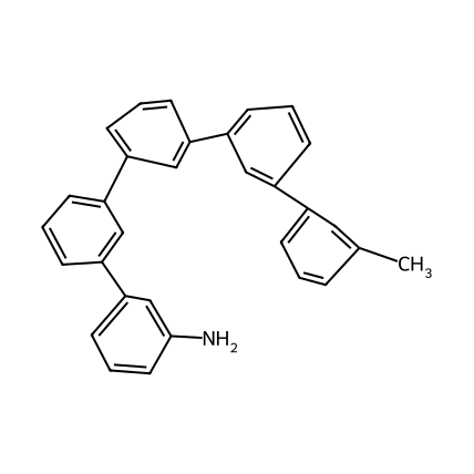 Cc1cccc(-c2cccc(-c3cccc(-c4cccc(-c5cccc(N)c5)c4)c3)c2)c1